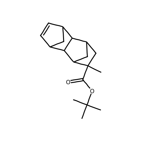 CC(C)(C)OC(=O)C1(C)CC2CC1C1C3C=CC(C3)C21